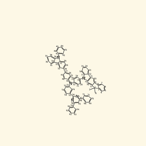 CC1(C)c2ccccc2-c2cc3c4ccccc4n(-c4ccc5c(c4)c4cc(-c6ccc7c(c6)c6ccccc6n7-c6ccccc6)ccc4n5-c4cccc(-c5nc(-c6ccccc6)cc(-c6ccccc6)n5)c4)c3cc21